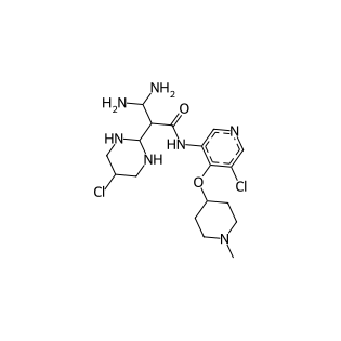 CN1CCC(Oc2c(Cl)cncc2NC(=O)C(C(N)N)C2NCC(Cl)CN2)CC1